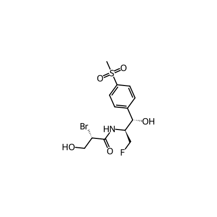 CS(=O)(=O)c1ccc([C@H](O)[C@@H](CF)NC(=O)[C@@H](Br)CO)cc1